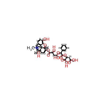 CN1CCC23c4c5ccc(O)c4O[C@H]2C(OC(=O)[C@@H](O)CC(O)O[C@H](C(=O)O[C@@H](CC(=O)O)C(=O)O)c2ccccc2)=CC[C@@]3(O)[C@H]1C5